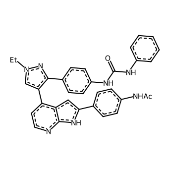 CCn1cc(-c2ccnc3[nH]c(-c4ccc(NC(C)=O)cc4)cc23)c(-c2ccc(NC(=O)Nc3ccccc3)cc2)n1